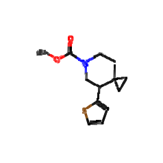 CC(C)(C)OC(=O)N1CCC2(CC2)C(c2cccs2)C1